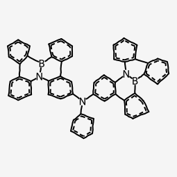 c1ccc(N(c2ccc3c(c2)-c2ccccc2B2c4ccccc4-c4ccccc4N23)c2ccc3c(c2)-c2ccccc2B2c4ccccc4-c4ccccc4N23)cc1